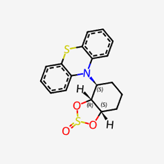 O=S1O[C@H]2[C@H](CCC[C@@H]2N2c3ccccc3Sc3ccccc32)O1